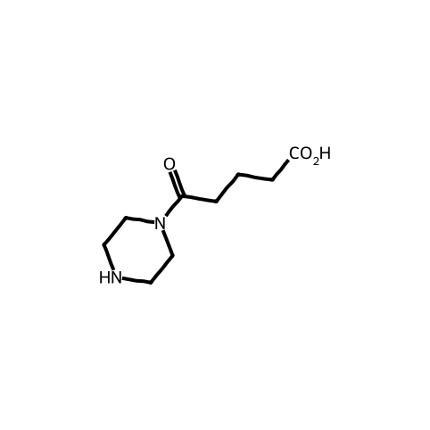 O=C(O)CCCC(=O)N1CCNCC1